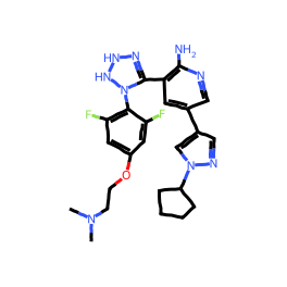 CN(C)CCOc1cc(F)c(N2NNN=C2c2cc(-c3cnn(C4CCCC4)c3)cnc2N)c(F)c1